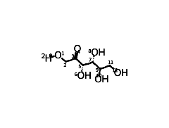 [2H]OCC(=O)[C@@H](O)[C@H](O)[C@H](O)CO